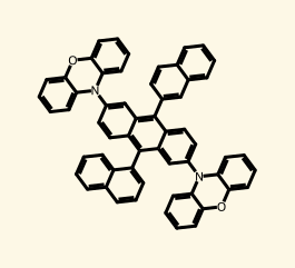 c1ccc2c(c1)Oc1ccccc1N2c1ccc2c(-c3cccc4ccccc34)c3cc(N4c5ccccc5Oc5ccccc54)ccc3c(-c3ccc4ccccc4c3)c2c1